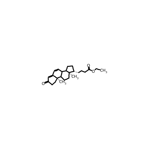 CCOC(=O)CCC[C@H]1CCC2C3C=CC4=CC(=O)CC[C@]4(C)C3CC[C@@]21C